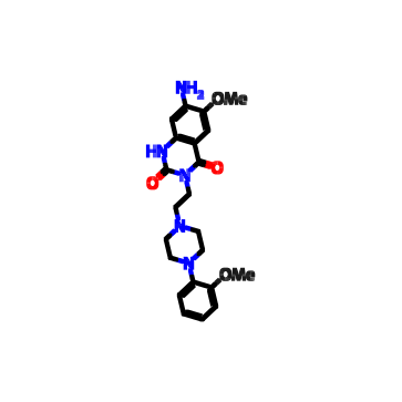 COc1cc2c(=O)n(CCN3CCN(c4ccccc4OC)CC3)c(=O)[nH]c2cc1N